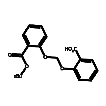 CCCCOC(=O)c1ccccc1OCOc1ccccc1C(=O)O